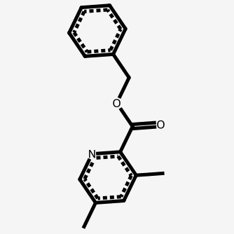 Cc1cnc(C(=O)OCc2ccccc2)c(C)c1